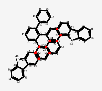 c1ccc(-c2ccccc2-c2c(-c3ccccc3)cccc2N(c2cccc(-c3cccc4c3sc3ccccc34)c2)c2ccc3c(c2)oc2ccccc23)cc1